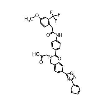 COc1ccc(CC(=O)Nc2ccc(C(=O)N(CC(=O)O)Cc3ccc(-c4nc(-c5ccccc5)no4)cc3)cc2)c(C(F)(F)F)c1